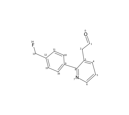 O=CCc1cccnc1-c1ccc(CF)cc1